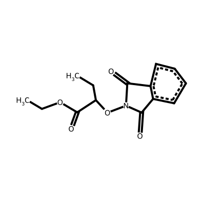 CCOC(=O)C(CC)ON1C(=O)c2ccccc2C1=O